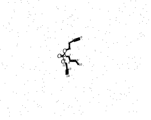 C#CCCOP(=O)(CC=CC)OCC#C